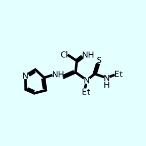 CCNC(=S)N(CC)/C(=C/Nc1cccnc1)C(=N)Cl